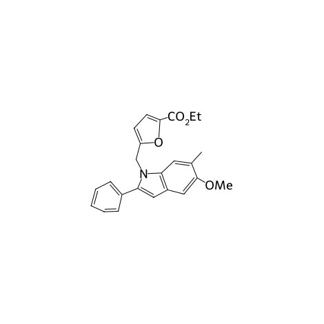 CCOC(=O)c1ccc(Cn2c(-c3ccccc3)cc3cc(OC)c(C)cc32)o1